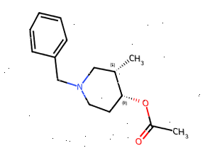 CC(=O)O[C@@H]1CCN(Cc2ccccc2)C[C@@H]1C